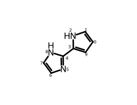 c1c[nH]c(-c2ncc[nH]2)c1